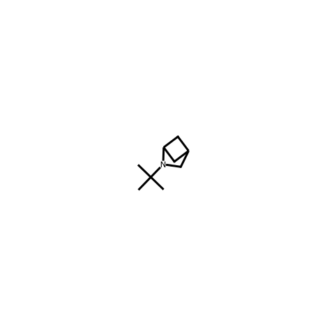 CC(C)(C)N1CC2CC1C2